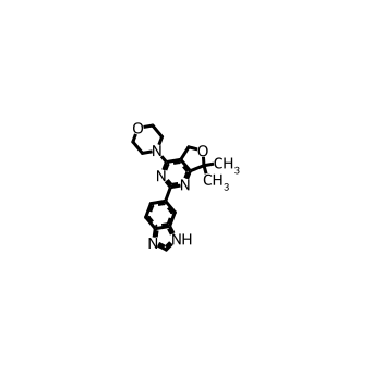 CC1(C)OCc2c(N3CCOCC3)nc(-c3ccc4nc[nH]c4c3)nc21